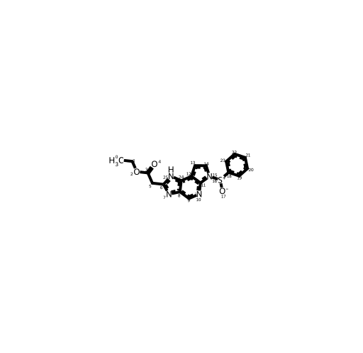 CCOC(=O)Cc1nc2cnc3c(ccn3[S+]([O-])c3ccccc3)c2[nH]1